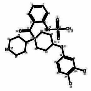 CS(=O)(=O)Nc1ccccc1C(=O)[N+]1(C2CCNCC2)CCC(Oc2ccc(Cl)c(Cl)c2)CC1